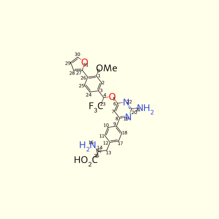 COc1cc(C(Oc2cc(-c3ccc(C[C@H](N)C(=O)O)cc3)nc(N)n2)C(F)(F)F)ccc1-c1ccco1